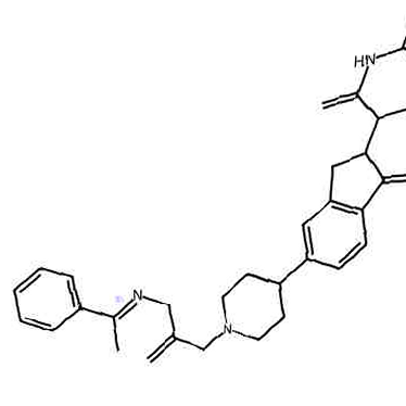 C=C(C/N=C(\C)c1ccccc1)CN1CCC(c2ccc3c(c2)CC(C2CCC(=C)NC2=C)C3=C)CC1